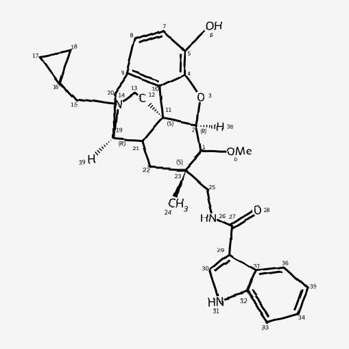 COC1[C@@H]2Oc3c(O)ccc4c3[C@@]23CCN(CC2CC2)[C@H](C4)C3C[C@@]1(C)CNC(=O)c1c[nH]c2ccccc12